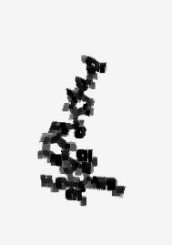 C#CCOc1cnc(C(=O)Nc2ccnc([C@]3(C)CC(C)(C)SC(N)=N3)c2)cn1